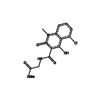 COC(=O)CNC(=O)c1c(O)c2c(Cl)cccc2n(C)c1=O